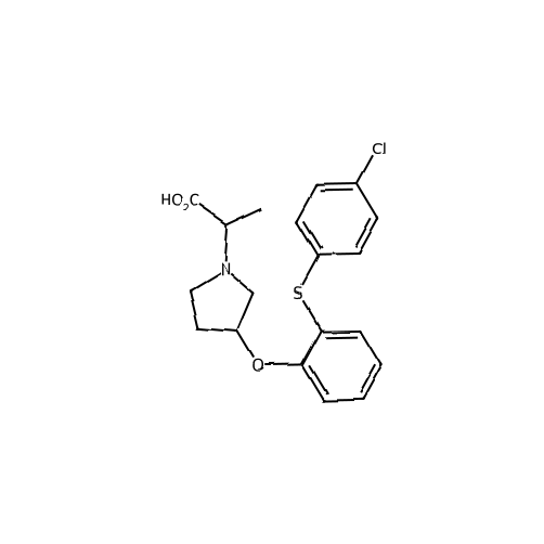 CC(C(=O)O)N1CCC(Oc2ccccc2Sc2ccc(Cl)cc2)C1